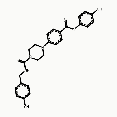 Cc1ccc(CNC(=O)N2CCN(c3ccc(C(=O)Nc4ccc(O)cc4)cc3)CC2)cc1